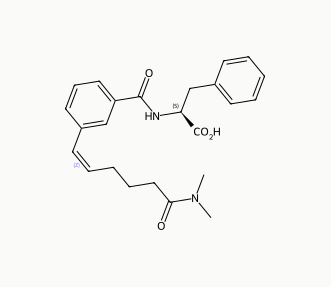 CN(C)C(=O)CCC/C=C\c1cccc(C(=O)N[C@@H](Cc2ccccc2)C(=O)O)c1